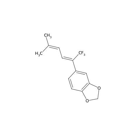 CC(C)=CC=C(c1ccc2c(c1)OCO2)C(F)(F)F